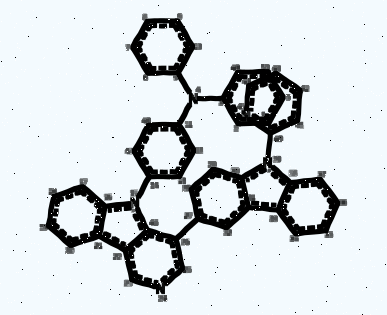 c1ccc(N(c2ccccc2)c2ccc(-n3c4ccccc4c4cncc(-c5ccc6c(c5)c5ccccc5n6-c5ccccn5)c43)cc2)cc1